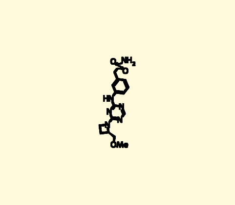 COC[C@H]1CCN1c1ncnc(Nc2cccc(CS(N)(=O)=O)c2)n1